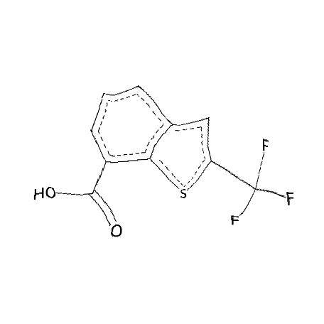 O=C(O)c1cccc2cc(C(F)(F)F)sc12